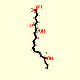 CCC[C@](C)(O)/C=C/C=C\C=C\C=C\[C@@H](O)[C@@H](O)CCCC(=O)O